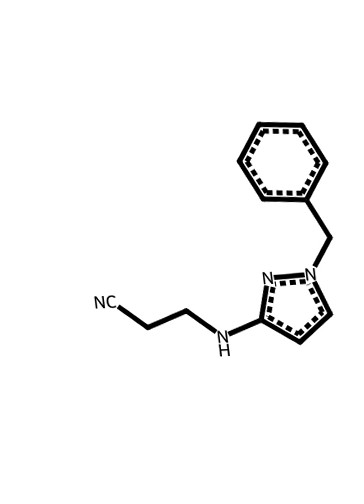 N#CCCNc1ccn(Cc2ccccc2)n1